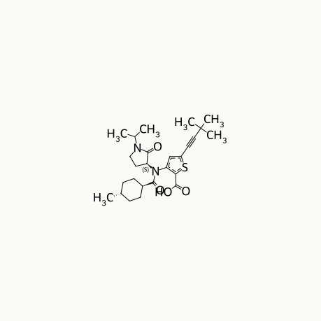 CC(C)N1CC[C@H](N(c2cc(C#CC(C)(C)C)sc2C(=O)O)C(=O)[C@H]2CC[C@H](C)CC2)C1=O